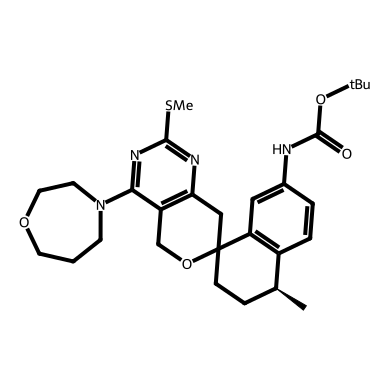 CSc1nc2c(c(N3CCCOCC3)n1)COC1(CC[C@H](C)c3ccc(NC(=O)OC(C)(C)C)cc31)C2